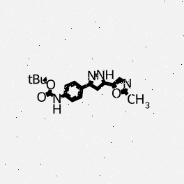 Cc1ncc(C2CC(c3ccc(NC(=O)OC(C)(C)C)cc3)=NN2)o1